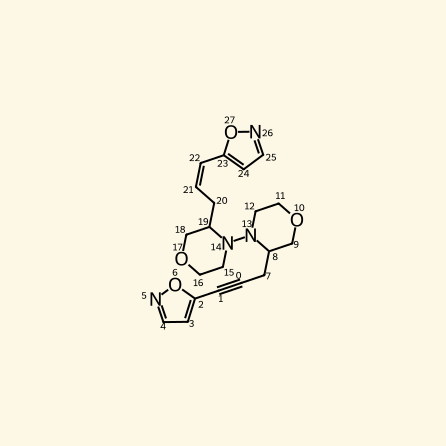 C(#Cc1ccno1)CC1COCCN1N1CCOCC1C/C=C\c1ccno1